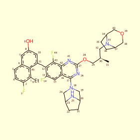 CCc1c(F)ccc2cc(O)cc(-c3c(F)cc4c(N5CC6CCC(C5)N6)nc(OC[C@H](C)CN5C6CCC5COC6)nc4c3F)c12